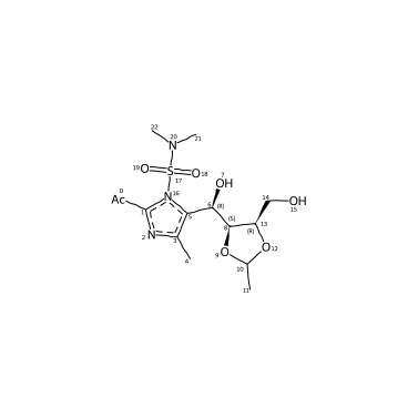 CC(=O)c1nc(C)c([C@@H](O)[C@@H]2OC(C)O[C@@H]2CO)n1S(=O)(=O)N(C)C